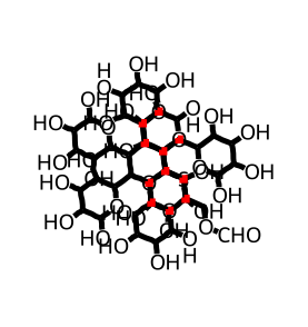 O=COCCSC(C1OC(O)C(O)C(O)C1O)C(C1OC(O)C(O)C(O)C1O)C(C1OC(O)C(O)C(O)C1O)C(C1OC(O)C(O)C(O)C1O)C(C(CC1OC(O)C(O)C(O)C1O)C1OC(O)C(O)C(O)C1O)C1OC(O)C(O)C(O)C1O